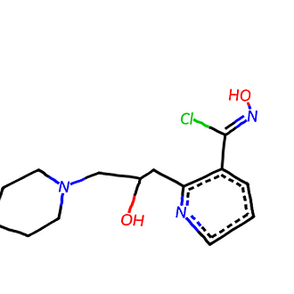 ON=C(Cl)c1cccnc1CC(O)CN1CCCCC1